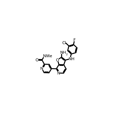 CNC(=O)c1cc(-c2nccc3c(Nc4ccc(F)c(Cl)c4)c(N)oc23)ccn1